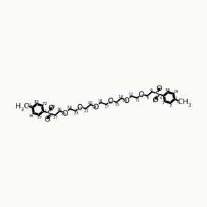 Cc1ccc(S(=O)(=O)CCOCCOCCOCCOCCOCCOCCS(=O)(=O)c2ccc(C)cc2)cc1